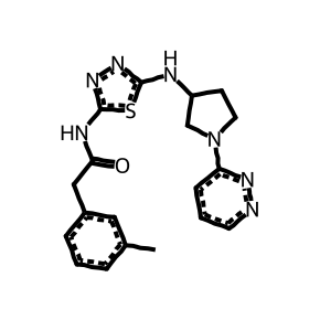 Cc1cccc(CC(=O)Nc2nnc(NC3CCN(c4cccnn4)C3)s2)c1